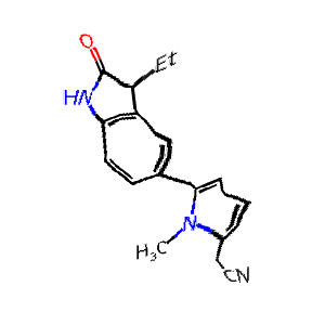 CCC1C(=O)Nc2ccc(-c3ccc(C#N)n3C)cc21